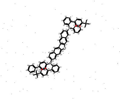 CC(C)(C)c1ccc(-c2ccccc2N(c2ccccc2)c2ccc3cc4c(cc3c2)oc2cc3cc(N(c5ccc(-c6ccccc6)cc5)c5ccccc5-c5ccc(C(C)(C)C)cc5)ccc3cc24)cc1